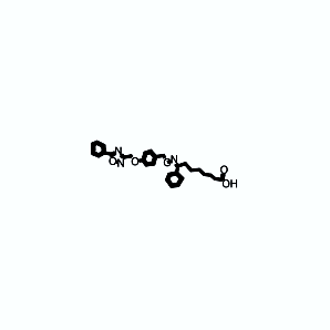 O=C(O)CCCCCCC(=NOCc1ccc(OCc2noc(-c3ccccc3)n2)cc1)c1ccccc1